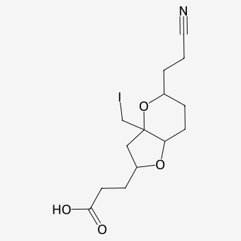 N#CCCC1CCC2OC(CCC(=O)O)CC2(CI)O1